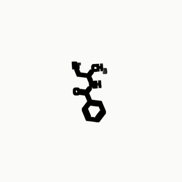 CC(CBr)NC(=O)c1ccccc1